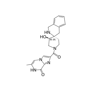 Cc1cn2cc(C(=O)N3CC[C@]4(Cc5ccccc5CN4)[C@H](O)C3)nc2c(=O)[nH]1